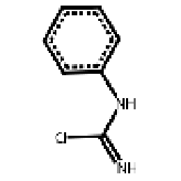 N=C(Cl)Nc1ccccc1